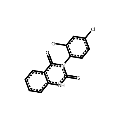 O=c1c2ccccc2[nH]c(=S)n1-c1ccc(Cl)cc1Cl